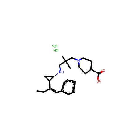 CCC(=Cc1ccccc1)C1C[C@@H]1NCC(C)(C)CN1CCC(C(=O)O)CC1.Cl.Cl